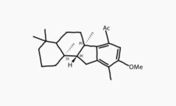 COc1cc(C(C)=O)c2c(c1C)C[C@H]1[C@@]2(C)CCC2C(C)(C)CCC[C@@]21C